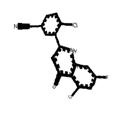 N#Cc1ccc(Cl)c(-c2cc(=O)c3c(Cl)cc(F)cc3[nH]2)c1